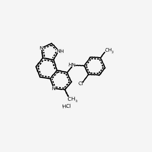 Cc1ccc(Cl)c(Nc2cc(C)nc3ccc4nc[nH]c4c23)c1.Cl